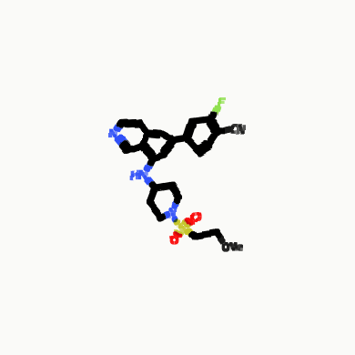 COCCS(=O)(=O)N1CCC(Nc2cc(-c3ccc(C#N)c(F)c3)cc3ccncc23)CC1